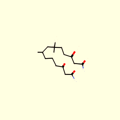 CC(CCCC(=O)CC(N)=O)CC(C)(C)CCC(=O)CC(N)=O